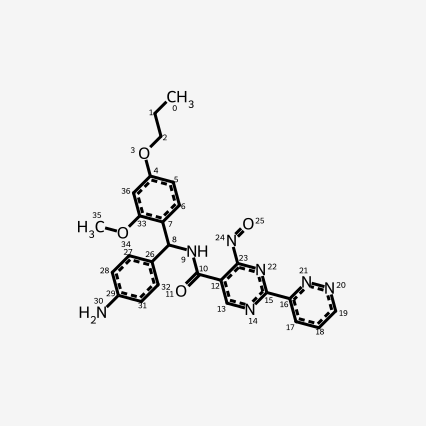 CCCOc1ccc(C(NC(=O)c2cnc(-c3cccnn3)nc2N=O)c2ccc(N)cc2)c(OC)c1